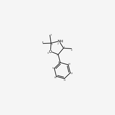 CC1NC(C)(C)OC1c1ccccc1